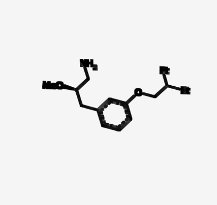 CCC(CC)COc1cccc(C[C@H](CN)OC)c1